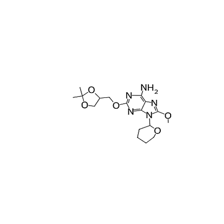 COc1nc2c(N)nc(OCC3COC(C)(C)O3)nc2n1C1CCCCO1